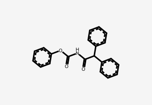 O=C(NC(=O)C(c1ccccc1)c1ccccc1)Oc1ccccc1